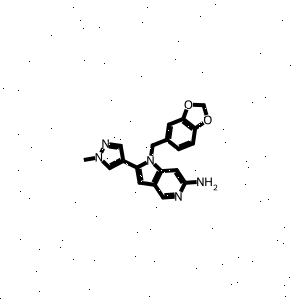 Cn1cc(-c2cc3cnc(N)cc3n2Cc2ccc3c(c2)OCO3)cn1